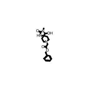 CN1C(=O)NC2(CCN(CC(=O)OCc3ccccc3)CC2)C1O